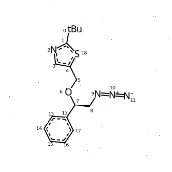 CC(C)(C)c1ncc(CO[C@@H](CN=[N+]=[N-])c2ccccc2)s1